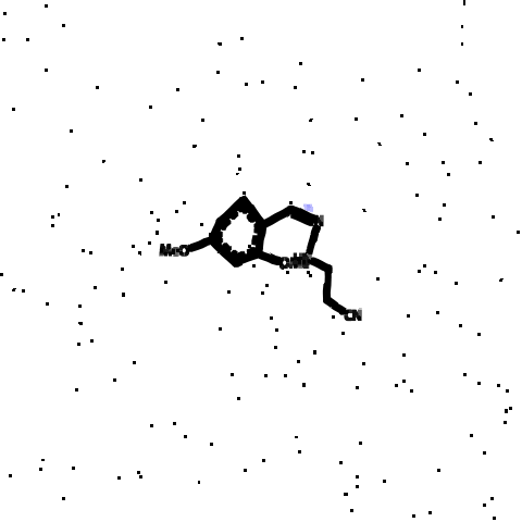 COc1ccc(/C=N\NCCC#N)c(OC)c1